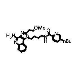 CCCCc1ccc(C(=O)NCCCCn2c(CCOC)nc3c(N)nc4ccccc4c32)nc1